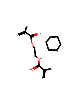 C1CCCCC1.C=C(C)C(=O)OCCOC(=O)C(=C)C